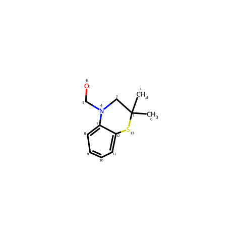 CC1(C)CN(C[O])c2ccccc2S1